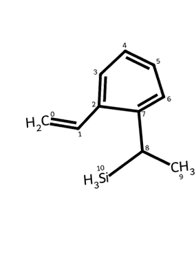 C=Cc1ccccc1C(C)[SiH3]